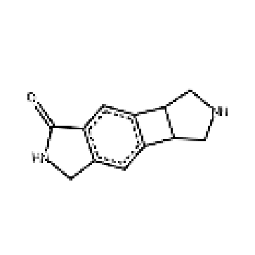 O=C1NCc2cc3c(cc21)C1CNCC31